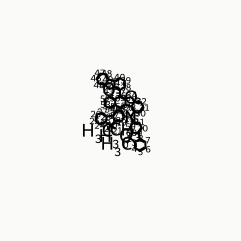 CC1(C)c2ccccc2-c2ccc(N(c3ccc4c(c3)C(C)(C)c3ccccc3-4)c3cccc4oc5c(-c6cccc7c6oc6ccccc67)c6ccccc6cc5c34)cc21